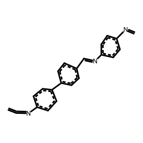 C=C=Nc1ccc(-c2ccc(C=Nc3ccc(N=C)cc3)cc2)cc1